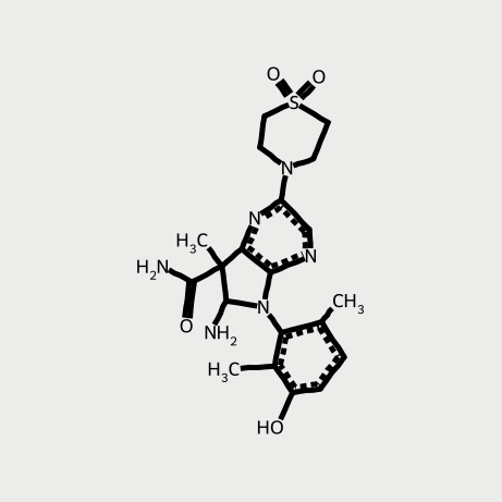 Cc1ccc(O)c(C)c1N1c2ncc(N3CCS(=O)(=O)CC3)nc2C(C)(C(N)=O)C1N